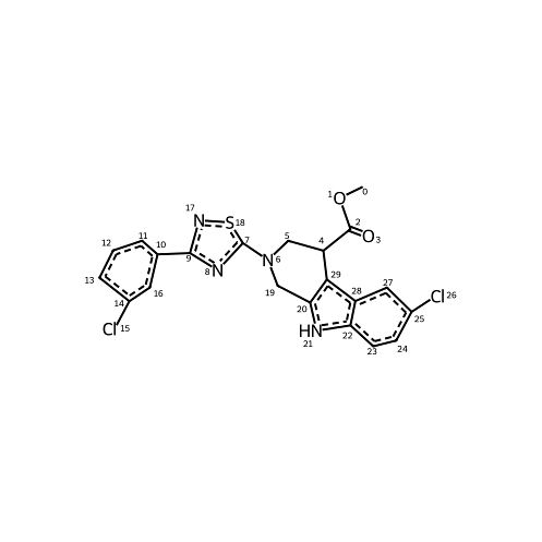 COC(=O)C1CN(c2nc(-c3cccc(Cl)c3)ns2)Cc2[nH]c3ccc(Cl)cc3c21